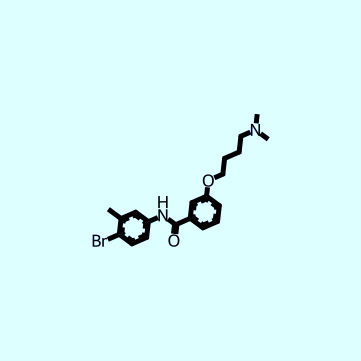 Cc1cc(NC(=O)c2cccc(OCCCCN(C)C)c2)ccc1Br